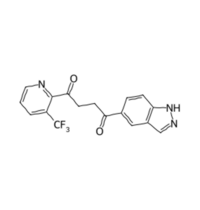 O=C(CCC(=O)c1ncccc1C(F)(F)F)c1ccc2[nH]ncc2c1